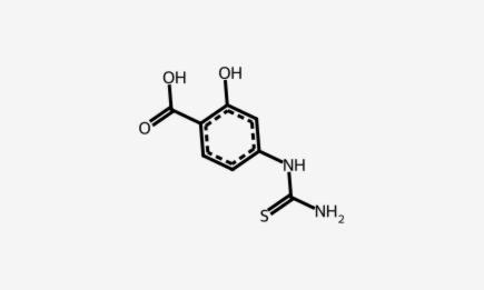 NC(=S)Nc1ccc(C(=O)O)c(O)c1